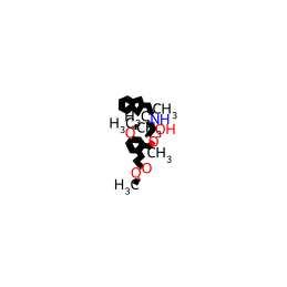 CCOC(=O)CCc1ccc(OC(C)C)cc1[C@@H](C)OC[C@H](O)CNC(C)(C)CC1Cc2ccccc2C1